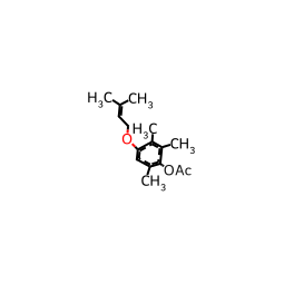 CC(=O)Oc1c(C)cc(OCC=C(C)C)c(C)c1C